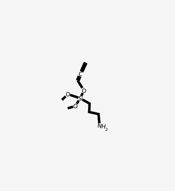 C=C=CO[Si](CCCN)(OC)OC